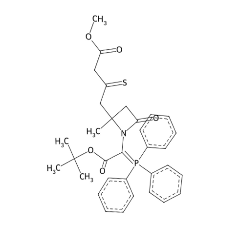 COC(=O)CC(=S)CC1(C)CC(=O)N1C(C(=O)OC(C)(C)C)=P(c1ccccc1)(c1ccccc1)c1ccccc1